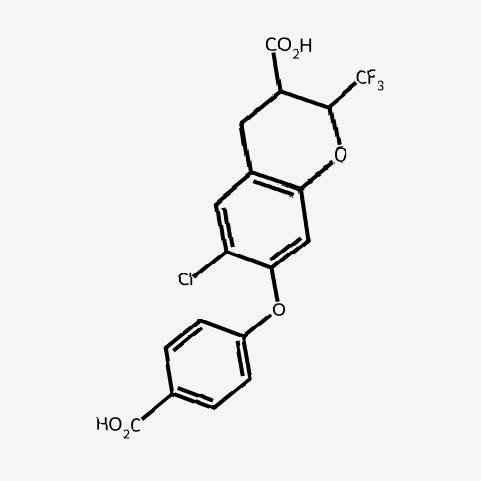 O=C(O)c1ccc(Oc2cc3c(cc2Cl)CC(C(=O)O)C(C(F)(F)F)O3)cc1